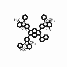 CC1CCCC2(C)c3cc(-c4cc(-c5ccc6c(c5)C5(C)CCCC(C)C5(C)N6c5ccccc5)c5ccc6c(-c7cccc8ccccc78)cc(-c7ccc8c(c7)C7(C)CCCC(C)C7(C)N8c7ccccc7)c7ccc4c5c76)ccc3N(c3ccccc3)C12C